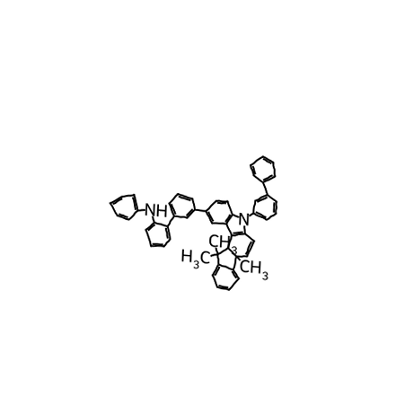 CC1(C)c2ccccc2C2(C)C=Cc3c(c4cc(-c5cccc(-c6ccccc6Nc6ccccc6)c5)ccc4n3-c3cccc(-c4ccccc4)c3)C12